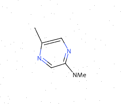 CNc1cnc(C)cn1